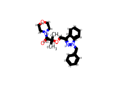 CC(C)(OCc1nn(Cc2ccccc2)c2ccccc12)C(=O)N1CCOCC1